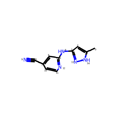 Cc1cc(Nc2cc(C#N)ccn2)n[nH]1